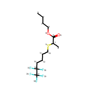 CCCCOC(=O)C(C)SCCCCC(F)(F)C(F)(F)F